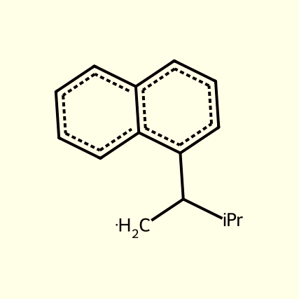 [CH2]C(c1cccc2ccccc12)C(C)C